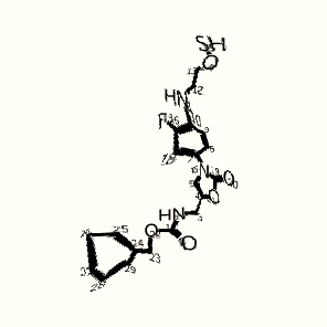 O=C(NC[C@H]1CN(c2ccc(NCCOS)c(F)c2)C(=O)O1)OCc1ccccc1